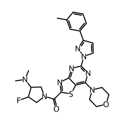 Cc1cccc(-c2ccn(-c3nc(N4CCOCC4)c4sc(C(=O)N5CC(F)C(N(C)C)C5)nc4n3)n2)c1